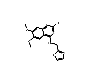 COc1cc2nc(Cl)nc(NCc3ncco3)c2cc1OC